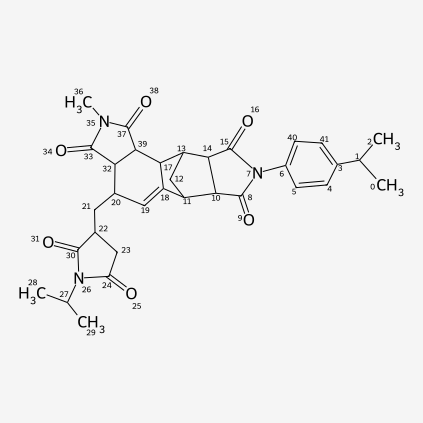 CC(C)c1ccc(N2C(=O)C3C4CC(C3C2=O)C2C4=CC(CC3CC(=O)N(C(C)C)C3=O)C3C(=O)N(C)C(=O)C32)cc1